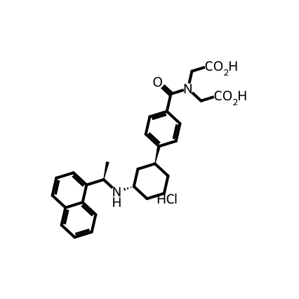 C[C@@H](N[C@H]1CCC[C@H](c2ccc(C(=O)N(CC(=O)O)CC(=O)O)cc2)C1)c1cccc2ccccc12.Cl